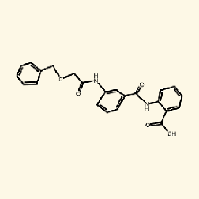 O=C(COCc1ccccc1)Nc1cccc(C(=O)Nc2ccccc2C(=O)O)c1